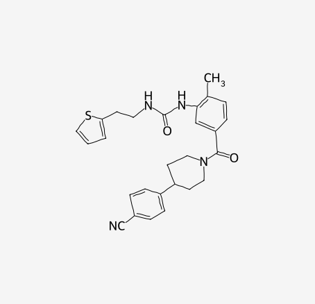 Cc1ccc(C(=O)N2CCC(c3ccc(C#N)cc3)CC2)cc1NC(=O)NCCc1cccs1